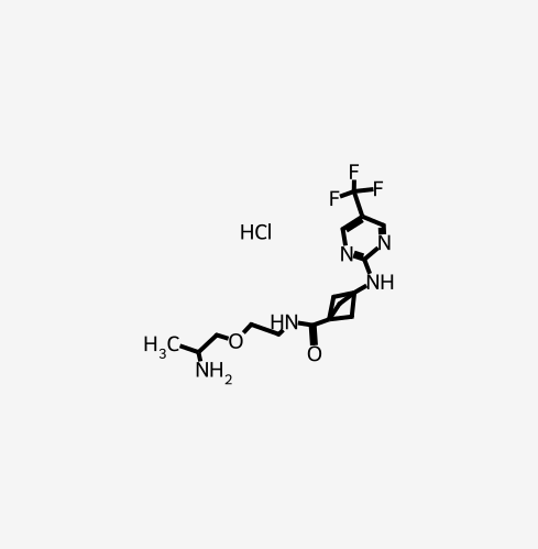 CC(N)COCCNC(=O)C12CC(Nc3ncc(C(F)(F)F)cn3)(C1)C2.Cl